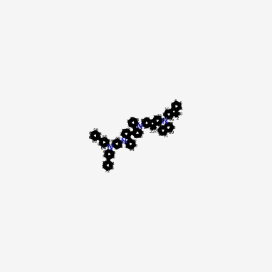 CC1(C)c2ccccc2-c2ccc(N(c3ccc4c(c3)C(C)(C)c3cc(-n5c6ccccc6c6c(-c7cccc8c7c7ccccc7n8-c7ccc(N(c8ccc(-c9ccccc9)cc8)c8ccc(-c9ccccc9)cc8)cc7)cccc65)ccc3-4)c3cccc4ccccc34)cc21